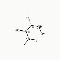 CC[C@H](NC(C)C)[C@H](O)N(C)C